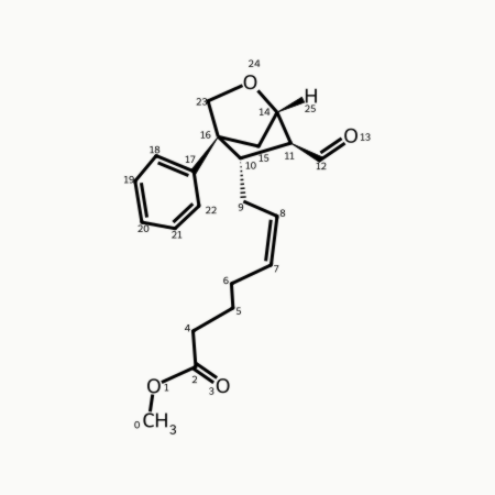 COC(=O)CCC/C=C\C[C@H]1[C@H](C=O)[C@@H]2C[C@@]1(c1ccccc1)CO2